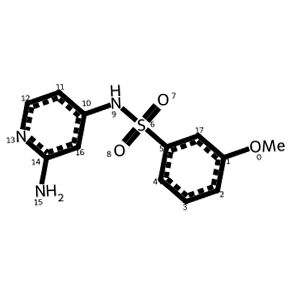 COc1cc[c]c(S(=O)(=O)Nc2ccnc(N)c2)c1